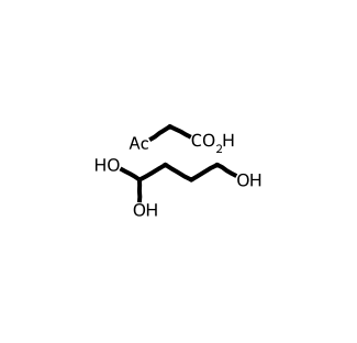 CC(=O)CC(=O)O.OCCCC(O)O